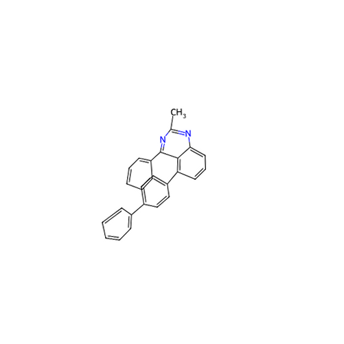 Cc1nc(-c2ccccc2)c2c(-c3ccc(-c4ccccc4)cc3)cccc2n1